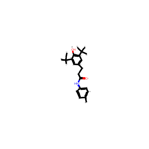 Cc1ccc(NC(=O)CCc2cc(C(C)(C)C)c(O)c(C(C)(C)C)c2)cc1